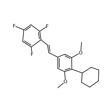 COc1cc(/C=C/c2c(F)cc(F)cc2F)cc(OC)c1C1CCCCC1